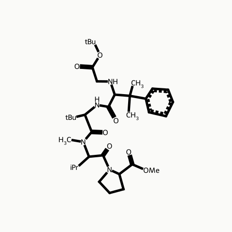 COC(=O)C1CCCN1C(=O)C(C(C)C)N(C)C(=O)C(NC(=O)C(NCC(=O)OC(C)(C)C)C(C)(C)c1ccccc1)C(C)(C)C